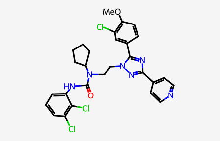 COc1ccc(-c2nc(-c3ccncc3)nn2CCN(C(=O)Nc2cccc(Cl)c2Cl)C2CCCC2)cc1Cl